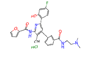 CN(C)CCNC(=O)c1cccc(-c2cc(-c3ccc(F)cc3O)nc(NC(=O)c3ccco3)c2C#N)c1.Cl